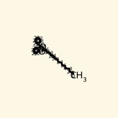 CCCCCCCCCCCCCCCCC(=O)OC(c1ccccc1)c1ccccc1